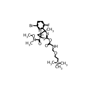 CON(C)C(=O)[C@]12C[C@H]1[C@@](C)(c1cc(Br)ccc1F)N=C(OC(=O)NCOCC[Si](C)(C)C)S2